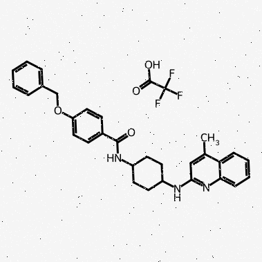 Cc1cc(NC2CCC(NC(=O)c3ccc(OCc4ccccc4)cc3)CC2)nc2ccccc12.O=C(O)C(F)(F)F